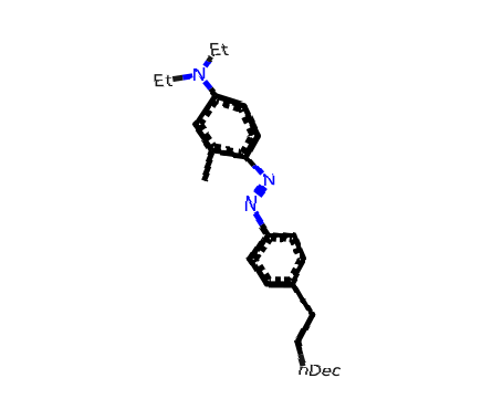 CCCCCCCCCCCCc1ccc(N=Nc2ccc(N(CC)CC)cc2C)cc1